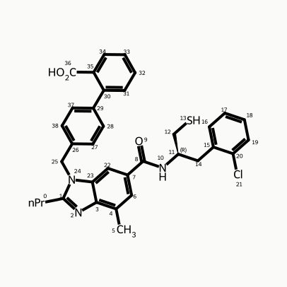 CCCc1nc2c(C)cc(C(=O)N[C@@H](CS)Cc3ccccc3Cl)cc2n1Cc1ccc(-c2ccccc2C(=O)O)cc1